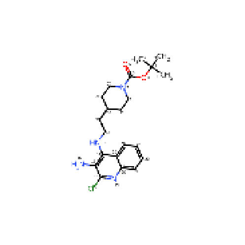 CC(C)(C)OC(=O)N1CCC(CCNc2c(N)c(Cl)nc3ccccc23)CC1